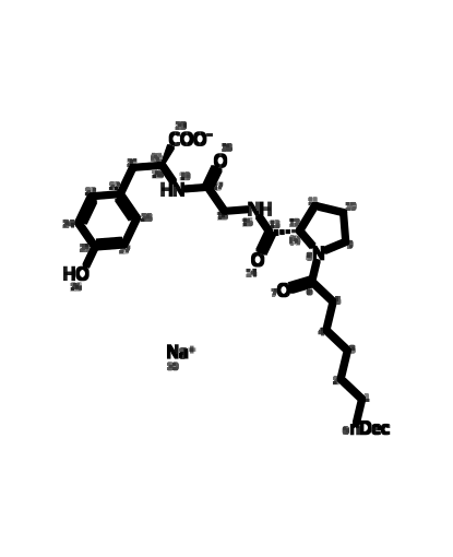 CCCCCCCCCCCCCCCC(=O)N1CCC[C@H]1C(=O)NCC(=O)N[C@@H](Cc1ccc(O)cc1)C(=O)[O-].[Na+]